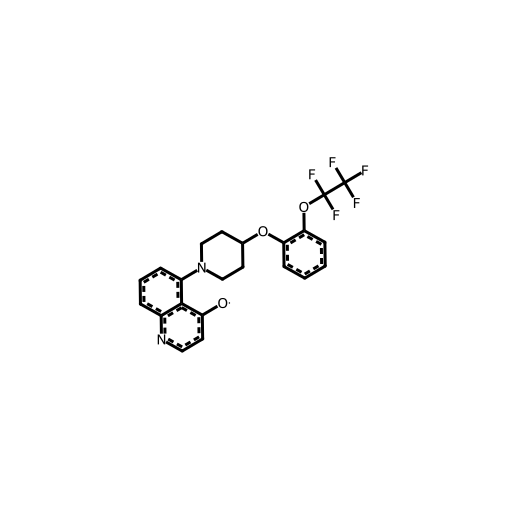 [O]c1ccnc2cccc(N3CCC(Oc4ccccc4OC(F)(F)C(F)(F)F)CC3)c12